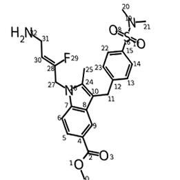 COC(=O)c1ccc2c(c1)c(Cc1ccc(S(=O)(=O)N(C)C)cc1)c(C)n2CC(F)=CCN